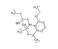 CCOc1cccc2c1N(CC(O)CC)C(C)(C)CC2C